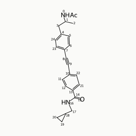 CC(=O)NC(C)Cc1ccc(C#Cc2ccc(C(=O)NCC3CC3)cc2)cc1